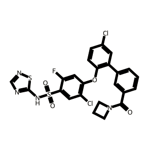 O=C(c1cccc(-c2cc(Cl)ccc2Oc2cc(F)c(S(=O)(=O)Nc3ncns3)cc2Cl)c1)N1CCC1